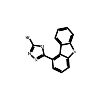 Brc1nnc(-c2cccc3sc4ccccc4c23)o1